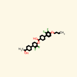 C=CCCOc1ccc(C2CCC(C(O)OC3CCC(C4CCC(C(C)O)CC4)C(F)=C3F)CC2)c(F)c1F